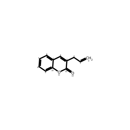 C=CCc1cc2ccccc2oc1=O